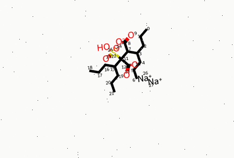 CCCC(CCC)C(C(=O)[O-])C(C(=O)[O-])(C(CCC)CCC)S(=O)(=O)O.[Na+].[Na+]